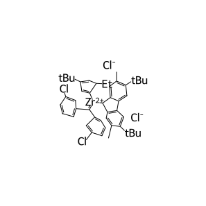 CCC1C=C(C(C)(C)C)C=[C]1[Zr+2](=[C](c1cccc(Cl)c1)c1cccc(Cl)c1)[CH]1c2cc(C)c(C(C)(C)C)cc2-c2cc(C(C)(C)C)c(C)cc21.[Cl-].[Cl-]